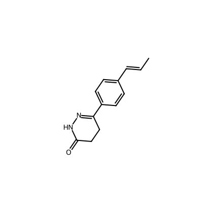 C/C=C/c1ccc(C2=NNC(=O)CC2)cc1